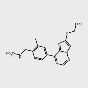 Cc1cc(-c2ncnn3cc(OCC=O)cc23)ccc1CNC(=O)O